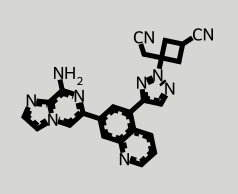 N#CCC1(n2ncc(-c3cc(-c4cn5ccnc5c(N)n4)cc4ncccc34)n2)CC(C#N)C1